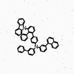 c1ccc(-c2cccc(N(c3ccc(-c4cccc(-n5c6ccccc6c6ccccc65)c4-c4ccccc4)cc3)c3cccc(-c4cccc5ccccc45)c3)c2)cc1